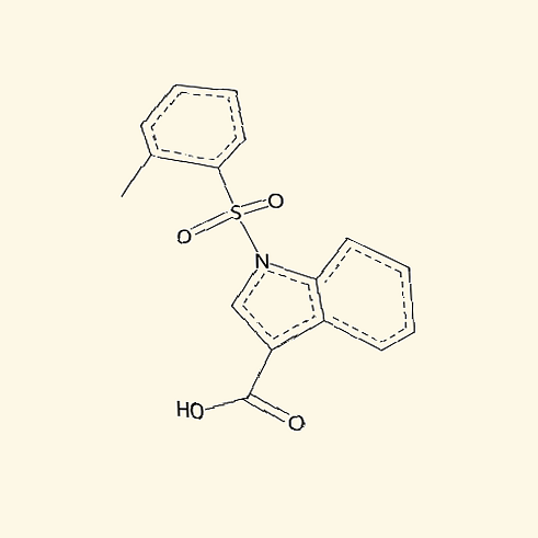 Cc1ccccc1S(=O)(=O)n1cc(C(=O)O)c2ccccc21